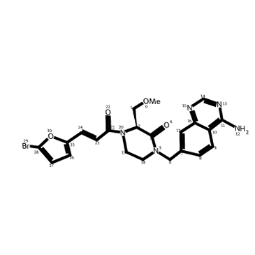 COC[C@H]1C(=O)N(Cc2ccc3c(N)ncnc3c2)CCN1C(=O)C=Cc1ccc(Br)o1